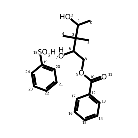 CC(O)C(C)(C)C(O)COC(=O)c1ccccc1.O=S(=O)(O)c1ccccc1